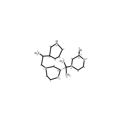 CC(CN1CCO[C@@H](C(C)(C)N2CCO[C@H](C(C)C)C2)C1)C1CCCNC1